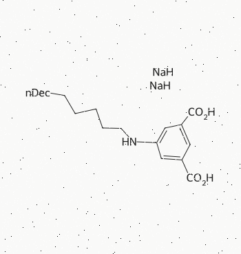 CCCCCCCCCCCCCCCNc1cc(C(=O)O)cc(C(=O)O)c1.[NaH].[NaH]